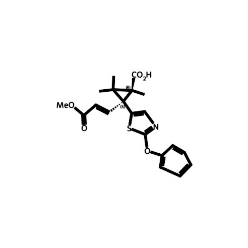 COC(=O)C=C[C@]1(c2cnc(Oc3ccccc3)s2)C(C)(C)[C@@]1(C)C(=O)O